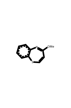 COC1=Nc2ccccc2SC=C1